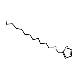 CCCCCCCCCCCCOCc1ccco1